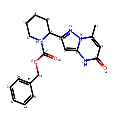 Cc1cc(=O)[nH]c2cc(C3CCCCN3C(=O)OCc3ccccc3)nn12